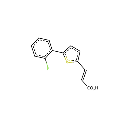 O=C(O)C=Cc1ccc(-c2ccccc2F)s1